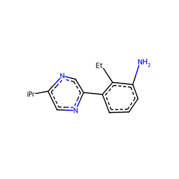 CCc1c(N)cccc1-c1cnc(C(C)C)cn1